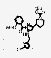 COc1ccccc1C(=O)n1nc(C2CCCN(C(=O)OC(C)(C)C)C2)cc1NCc1ccc(Cl)s1